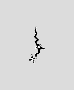 Cc1oc(C=CCCCF)nc1CCOS(C)(=O)=O